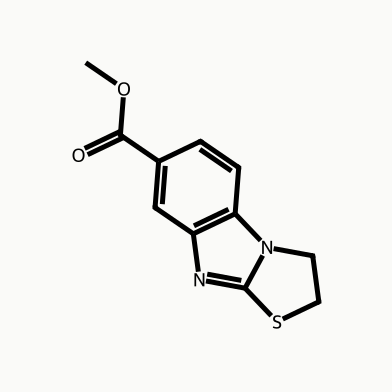 COC(=O)c1ccc2c(c1)nc1n2CCS1